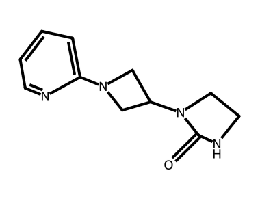 O=C1NCCN1C1CN(c2ccccn2)C1